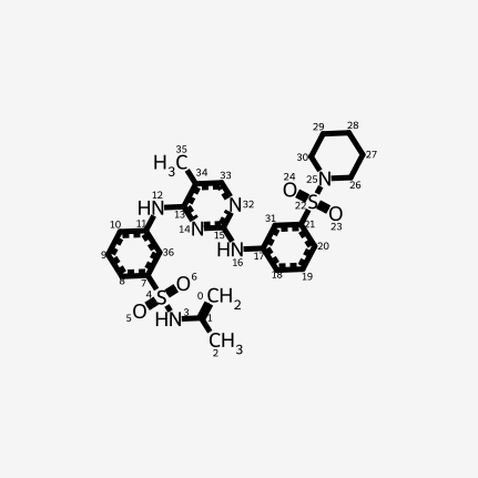 C=C(C)NS(=O)(=O)c1cccc(Nc2nc(Nc3cccc(S(=O)(=O)N4CCCCC4)c3)ncc2C)c1